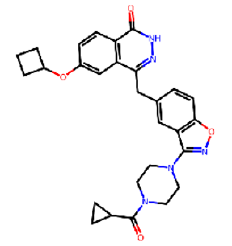 O=C(C1CC1)N1CCN(c2noc3ccc(Cc4n[nH]c(=O)c5ccc(OC6CCC6)cc45)cc23)CC1